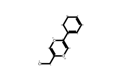 ClCC1=COC(C2=CC=CCC2)=CO1